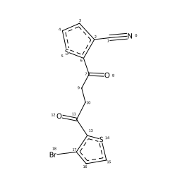 N#Cc1ccsc1C(=O)CCC(=O)c1sccc1Br